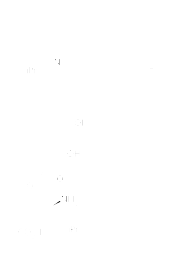 CC(C)C[C@H](N)[C@H](CC(=O)O)OC(=O)C[C@@H](O)C[C@@H](O)/C=C/c1c(-c2ccc(F)cc2)c2ccccc2n1C(C)C